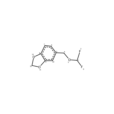 FC(F)OCc1ccc2c(c1)OCO2